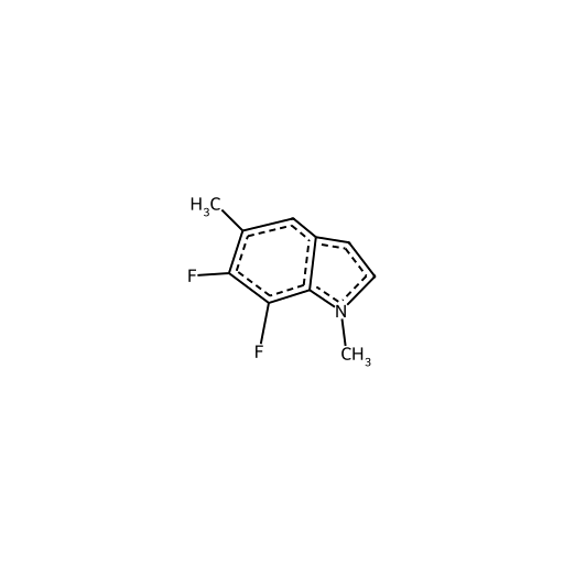 Cc1cc2ccn(C)c2c(F)c1F